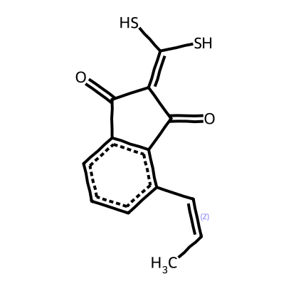 C/C=C\c1cccc2c1C(=O)C(=C(S)S)C2=O